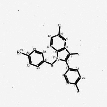 Cc1ccc(-c2c(C)c3cc(C)ccc3n2Cc2ccc(Br)cc2)cc1